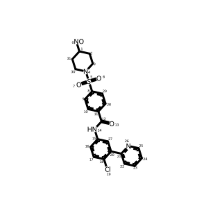 O=NC1CCN(S(=O)(=O)c2ccc(C(=O)Nc3ccc(Cl)c(-c4ccccn4)c3)cc2)CC1